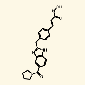 O=C(/C=C/c1ccc(Cc2nc3cc(C(=O)N4CCCC4)ccc3[nH]2)cc1)NO